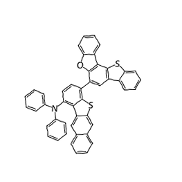 c1ccc(N(c2ccccc2)c2ccc(-c3cc4c5ccccc5sc4c4c3oc3ccccc34)c3sc4cc5ccccc5cc4c23)cc1